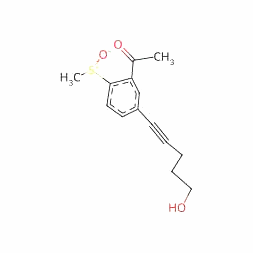 CC(=O)c1cc(C#CCCCO)ccc1[S+](C)[O-]